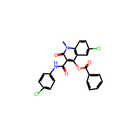 Cn1c(=O)c(C(=O)Nc2ccc(Cl)cc2)c(OC(=O)c2ccccc2)c2cc(Cl)ccc21